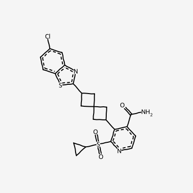 NC(=O)c1ccnc(S(=O)(=O)C2CC2)c1C1CC2(CC(c3nc4cc(Cl)ccc4s3)C2)C1